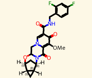 COc1c2n(cc(C(=O)NCc3ccc(F)cc3F)c1=O)CC1O[C@H]3C[C@H]([C@@H]4C[C@@H]43)N1C2=O